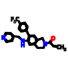 C=CC(=O)N1CCc2cc(NCc3ccncc3)c(-c3ccc(C(F)(F)F)cc3)cc2C1